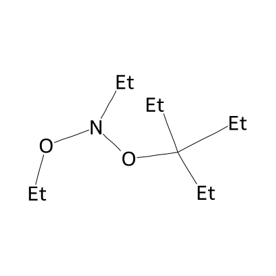 CCON(CC)OC(CC)(CC)CC